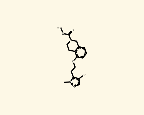 Cn1ncc(Br)c1CCOc1cccc2c1CCN(C(=O)OC(C)(C)C)C2